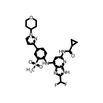 CS(=O)(=O)c1cc(-c2ccn(C3CCOCC3)n2)ccc1Nc1cc(NC(=O)C2CC2)nc2[nH]c(C(F)F)nc12